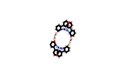 C1=Nc2c(cccc2-c2ccccc2)OCOc2cccc(-c3ccccc3)c2N=C=Nc2c(cccc2-c2ccccc2)OCOc2cccc(-c3ccccc3)c2N=1